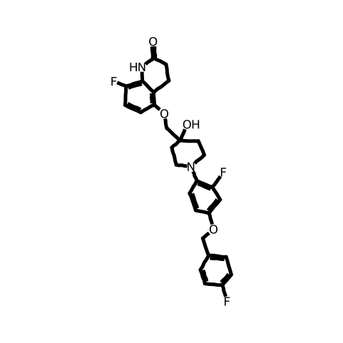 O=C1CCc2c(OCC3(O)CCN(c4ccc(OCc5ccc(F)cc5)cc4F)CC3)ccc(F)c2N1